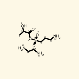 CC(O)C(=O)OS(=O)(=O)CCCN.NCCN